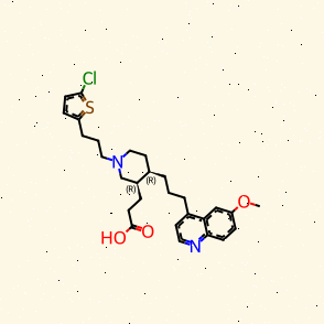 COc1ccc2nccc(CCC[C@@H]3CCN(CCCc4ccc(Cl)s4)C[C@@H]3CCC(=O)O)c2c1